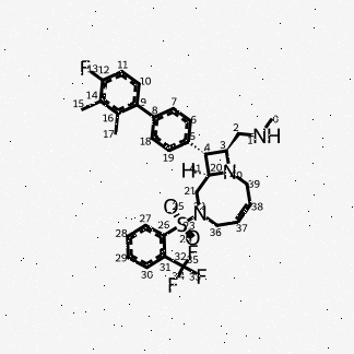 CNC[C@@H]1[C@@H](c2ccc(-c3ccc(F)c(C)c3C)cc2)[C@@H]2CN(S(=O)(=O)c3ccccc3C(F)(F)F)C/C=C\CN12